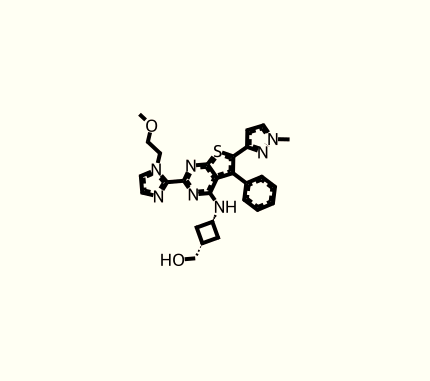 COCCn1ccnc1-c1nc(N[C@H]2C[C@@H](CO)C2)c2c(-c3ccccc3)c(-c3ccn(C)n3)sc2n1